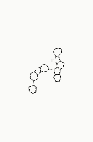 c1ccc(-c2ccc3oc4ccc(-n5c6ccccc6c6ccc7c8ccccc8[nH]c7c65)cc4c3c2)cc1